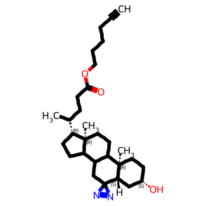 C#CCCCCOC(=O)CCC(C)[C@H]1CCC2C3CC4(N=N4)[C@H]4C[C@@H](O)CC[C@]4(C)C3CC[C@@]21C